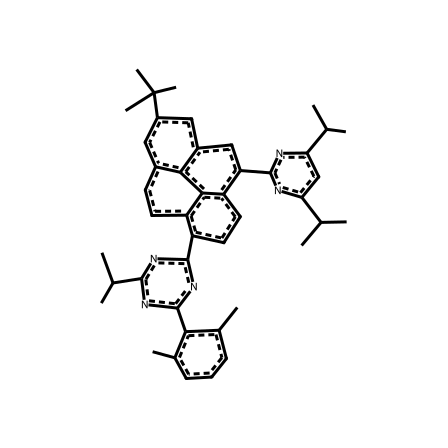 Cc1cccc(C)c1-c1nc(-c2ccc3c(-c4nc(C(C)C)cc(C(C)C)n4)cc4cc(C(C)(C)C)cc5ccc2c3c54)nc(C(C)C)n1